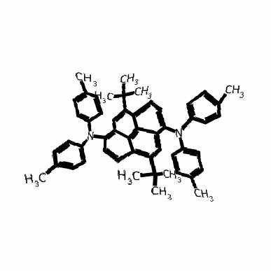 Cc1ccc(N(c2ccc(C)cc2)c2ccc3c(C(C)(C)C)cc4c(N(c5ccc(C)cc5)c5ccc(C)cc5)ccc5c(C(C)(C)C)cc2c3c45)cc1